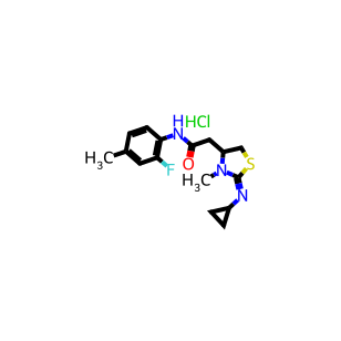 Cc1ccc(NC(=O)CC2CSC(=NC3CC3)N2C)c(F)c1.Cl